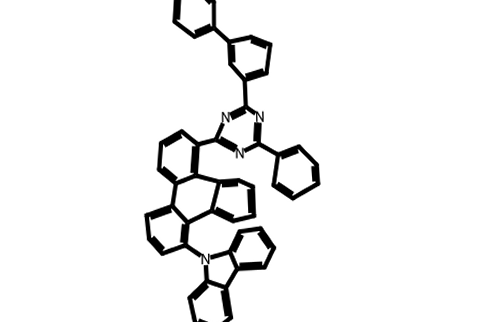 c1ccc(-c2cccc(-c3nc(-c4ccccc4)nc(-c4cccc5c6cccc(-n7c8ccccc8c8ccccc87)c6c6ccccc6c45)n3)c2)cc1